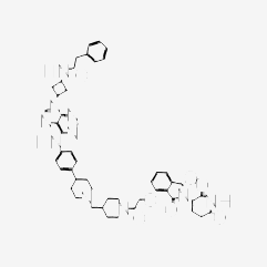 O=C1CC[C@H](N2C(=O)c3cccc(OCC(=O)N4CCC(CN5CCC(c6ccc(Nc7ncnc8c7ncn8C7CC(NC(=O)Cc8ccccc8)C7)cc6)CC5)CC4)c3C2=O)C(=O)N1